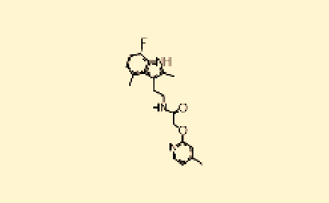 Cc1ccnc(OCC(=O)NCCc2c(C)[nH]c3c(F)ccc(C)c23)c1